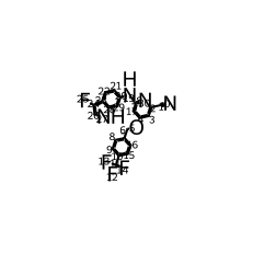 N#Cc1cc(OCc2ccc(C(F)(F)F)cc2)cc(Nc2ccc3c(F)c[nH]c3c2)n1